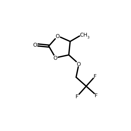 CC1OC(=O)OC1OCC(F)(F)F